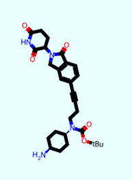 CC(C)(C)OC(=O)N(CCC#Cc1ccc2c(c1)CN(C1CCC(=O)NC1=O)C2=O)[C@H]1CC[C@H](N)CC1